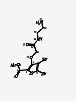 COC(=O)c1sc(Br)c(Br)c1OCC(=O)NCCN